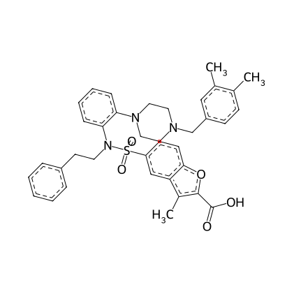 Cc1ccc(CN2CCN(c3ccccc3N(CCc3ccccc3)S(=O)(=O)c3ccc4oc(C(=O)O)c(C)c4c3)CC2)cc1C